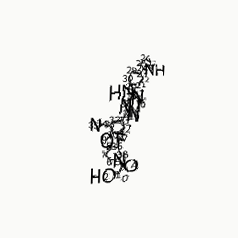 C[C@H](O)C(=O)N1CC[C@H](Oc2ccc(-c3ncnc(Nc4ccc([C@H]5CCCN5)cc4)n3)cc2C#N)[C@@H](F)C1